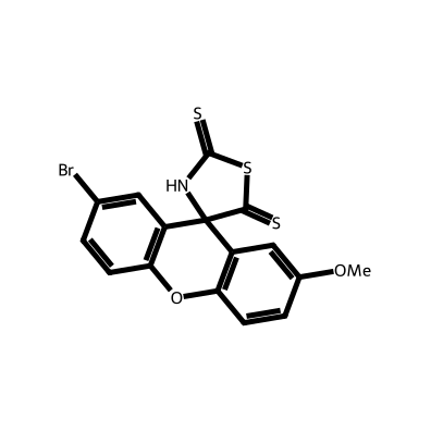 COc1ccc2c(c1)C1(NC(=S)SC1=S)c1cc(Br)ccc1O2